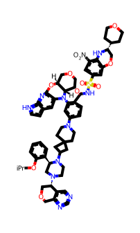 CC(C)Oc1ccccc1[C@@H]1CN([C@H]2COCc3ncncc32)CCN1C1CC2(CCN(c3ccc(C(=O)NS(=O)(=O)c4cc5c(c([N+](=O)[O-])c4)N[C@H](C4CCOCC4)CO5)c(N4c5cc6cc[nH]c6nc5O[C@H]5COCC[C@@H]54)c3)CC2)C1